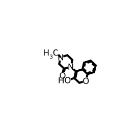 CN1CCN(C2=C(O)COc3ccccc32)C(=O)C1